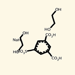 O=C(O)c1cc(C(=O)O)cc(S(=O)(=O)O)c1.OCCO.OCCO.[NaH]